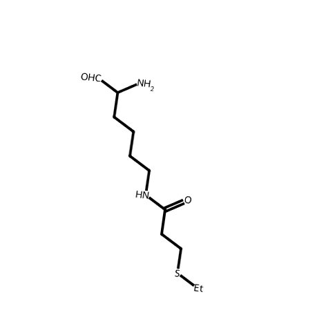 CCSCCC(=O)NCCCCC(N)C=O